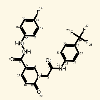 O=C(Cn1cc(C(=O)NNc2ccc(F)cc2)ccc1=O)Nc1ccc(C(F)(F)F)cc1